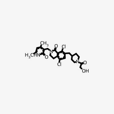 Cc1cc(C)c(CN2CCc3c(Cl)cc(CC4CCN(C(=O)CO)CC4)c(Cl)c3C2=O)c(=O)[nH]1